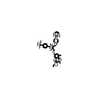 CCOC(=O)C(C)Oc1ccc(SCc2sc(-c3ccc(C(F)(F)F)cc3)nc2CN2CCN(c3ncccn3)CC2)cc1C